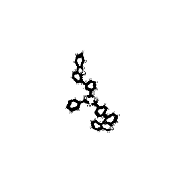 c1ccc(-c2nc(-c3ccc(-c4cccc5c4-c4ccccc4CO5)cc3)nc(-c3cccc(-c4cccc5c4oc4ccccc45)c3)n2)cc1